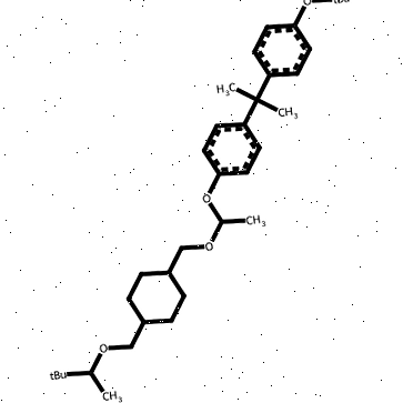 CC(OCC1CCC(COC(C)C(C)(C)C)CC1)Oc1ccc(C(C)(C)c2ccc(OC(C)(C)C)cc2)cc1